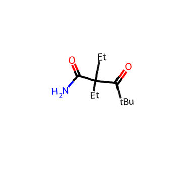 CCC(CC)(C(N)=O)C(=O)C(C)(C)C